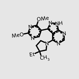 CCC1(C)CCN(c2ncnc3[nH]nc(-c4cnc(OC)nc4OC)c23)C1